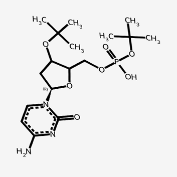 CC(C)(C)OC1C[C@H](n2ccc(N)nc2=O)OC1COP(=O)(O)OC(C)(C)C